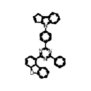 C1=CC2Oc3ccccc3C2C(c2nc(-c3ccccc3)nc(-c3ccc(-n4c5c(c6ccccc64)CC=C5)cc3)n2)=C1